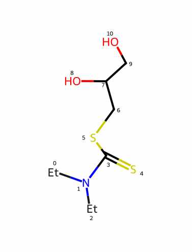 CCN(CC)C(=S)SCC(O)CO